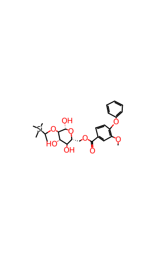 COc1cc(C(=O)OC[C@H]2O[C@@H](O)[C@H](OC(C)[Si](C)(C)C)[C@@H](O)[C@@H]2O)ccc1Oc1ccccc1